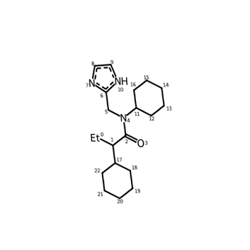 CCC(C(=O)N(Cc1ncc[nH]1)C1CCCCC1)C1CCCCC1